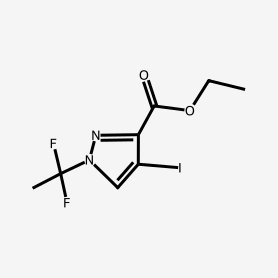 CCOC(=O)c1nn(C(C)(F)F)cc1I